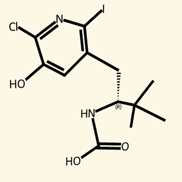 CC(C)(C)[C@@H](Cc1cc(O)c(Cl)nc1I)NC(=O)O